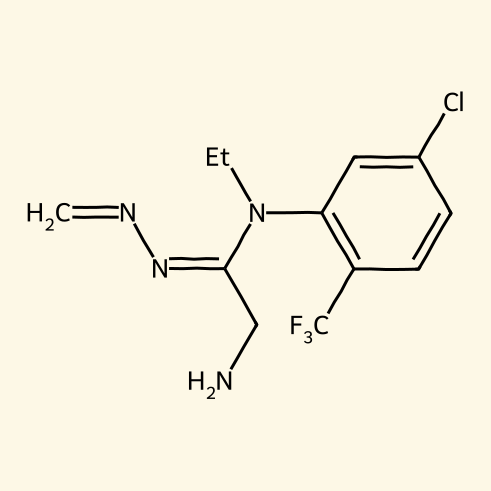 C=N/N=C(/CN)N(CC)c1cc(Cl)ccc1C(F)(F)F